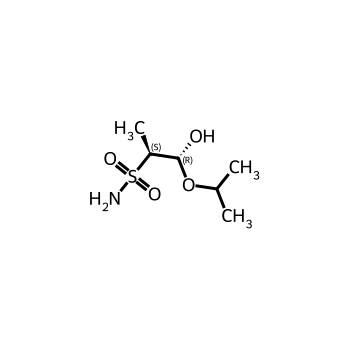 CC(C)O[C@@H](O)[C@H](C)S(N)(=O)=O